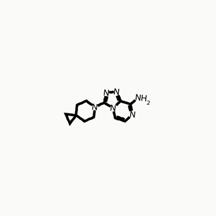 Nc1nccn2c(N3CCC4(CC3)CC4)nnc12